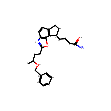 CC(CCc1nc2ccc3c(c2o1)C(CCCC(N)=O)CC3)OCc1ccccc1